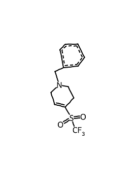 O=S(=O)(C1=CCN(Cc2ccccc2)CC1)C(F)(F)F